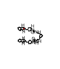 O=C(NCCc1cccc(CCNC(=O)NC2CCC(CCN3[C@@H]4CC[C@H]3c3ccccc34)CC2)c1)NC1CCC(CCN2[C@@H]3CC[C@H]2c2ccccc23)CC1